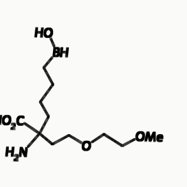 COCCOCCC(N)(CCCCBO)C(=O)O